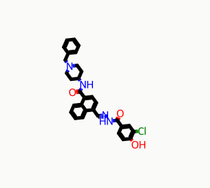 O=C(N/N=C/c1ccc(C(=O)NC2CCN(Cc3ccccc3)CC2)c2ccccc12)c1ccc(O)c(Cl)c1